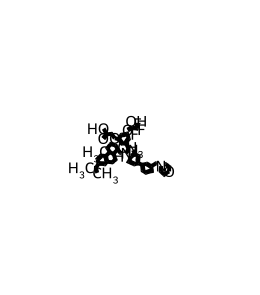 CC(C)c1ccc2c(c1)CC[C@H]1[C@@](C)(Cn3c(-c4cccc(OCC(=O)O)c4)nc4cc(-c5cccc(CN6CCOCC6)c5)ccc43)CCC[C@]21C.O=C(O)C(F)(F)F